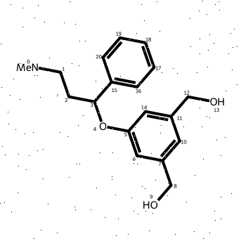 CNCCC(Oc1cc(CO)cc(CO)c1)c1ccccc1